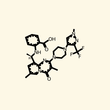 Cc1cc([C@@H](C)Nc2ccccc2C(=O)O)c2nc(N3CCN(c4cn(C)nc4C(F)(F)F)CC3)c(C)c(=O)n2c1